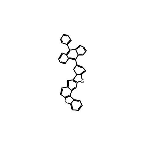 C1=C(c2c3ccccc3c(-c3ccccc3)c3ccccc23)CC2C(=C1)Sc1cc3c(ccc4sc5ccccc5c43)cc12